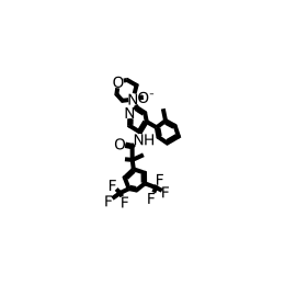 Cc1ccccc1-c1cc([N+]2([O-])CCOCC2)ncc1NC(=O)C(C)(C)c1cc(C(F)(F)F)cc(C(F)(F)F)c1